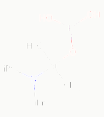 CC(C)N(C(C)C)[Si](C)(C)OP(O)O